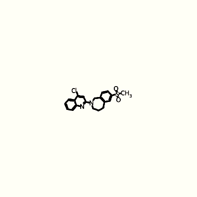 CS(=O)(=O)c1ccc2c(c1)CCCN(c1cc(Cl)c3ccccc3n1)C2